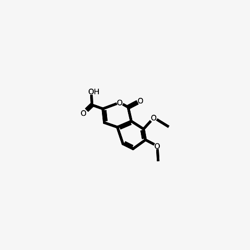 COc1ccc2cc(C(=O)O)oc(=O)c2c1OC